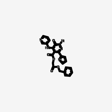 CCn1nc(-c2cccs2)c(C(=O)OCC(=O)OCc2ccccc2)c(Nc2cccnc2)c1=O